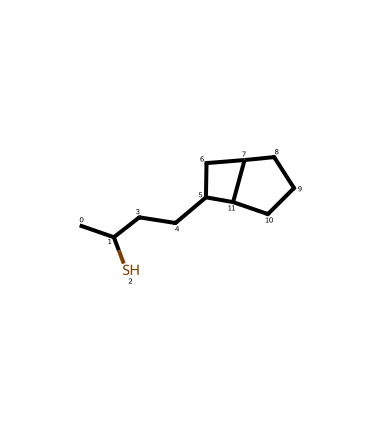 CC(S)CCC1CC2CCCC21